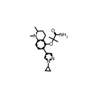 CC1CCc2c(ccc(-c3cnn(C4CC4)c3)c2OC(C)(C)C(N)=O)N1C